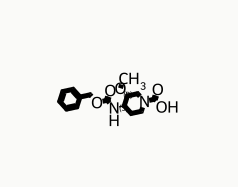 CO[C@@H]1CN(C(=O)O)CC[C@@H]1NC(=O)OCc1ccccc1